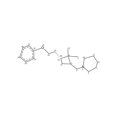 CC1(C)C(CN2CCCCC2)C[C@@H]1CCOc1ccccc1